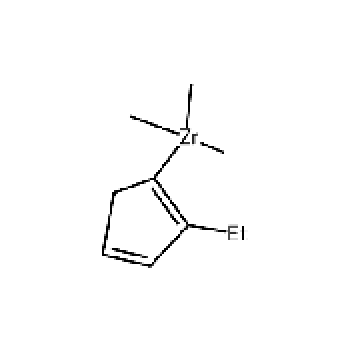 CCC1=[C]([Zr]([CH3])([CH3])[CH3])CC=C1